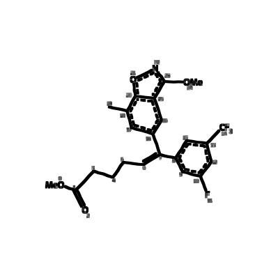 COC(=O)CCC/C=C(/c1cc(F)cc(C(F)(F)F)c1)c1cc(C)c2onc(OC)c2c1